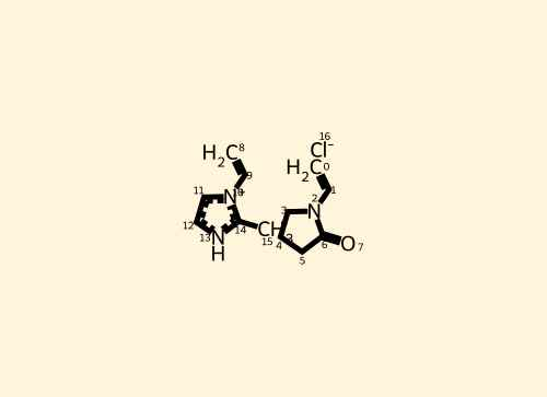 C=CN1CCCC1=O.C=C[n+]1cc[nH]c1C.[Cl-]